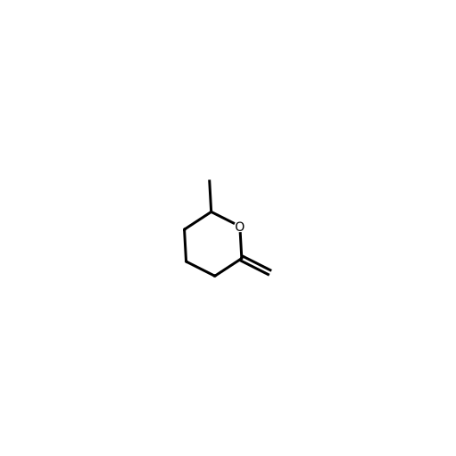 C=C1CCCC(C)O1